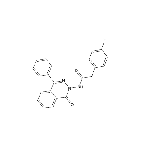 O=C(Cc1ccc(F)cc1)Nn1nc(-c2ccccc2)c2ccccc2c1=O